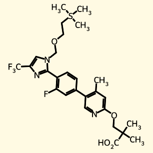 Cc1cc(OCC(C)(C)C(=O)O)ncc1-c1ccc(-c2nc(C(F)(F)F)cn2COCCS(C)(C)C)c(F)c1